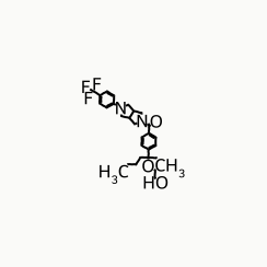 CCCCC(CC)(OCCO)c1ccc(C(=O)N2CC3CN(c4ccc(C(F)(F)F)cc4)CC3C2)cc1